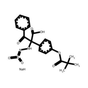 CC(C)(C)C(=O)Oc1ccc(C(NN=S(=O)=O)(C(=O)O)C(=O)c2ccccc2)cc1.[NaH]